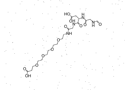 O=CNCC(=O)NC(CC(=O)O)C(=O)NCC(=O)NCCOCCOCCOCCOCCC(=O)O